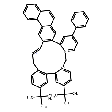 CC(C)(C)c1ccc2c(c1)-c1cc(C(C)(C)C)cc[n+]1C[n+]1ccc(-c3ccccc3)cc1-c1cc3ccc4ccccc4c3cc1/C=C/C2